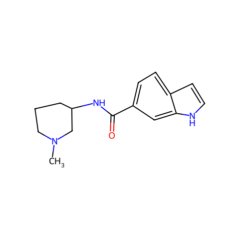 CN1CCCC(NC(=O)c2ccc3cc[nH]c3c2)C1